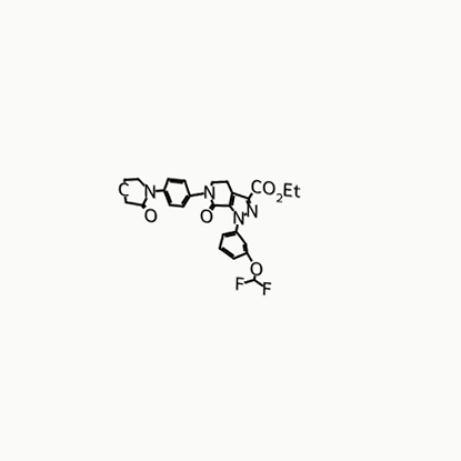 CCOC(=O)c1nn(-c2cccc(OC(F)F)c2)c2c1CCN(c1ccc(N3CCCCC3=O)cc1)C2=O